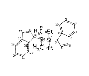 CC[Si](CC)(C1C=Cc2ccccc21)[Si](C)(C)C1C=Cc2ccccc21